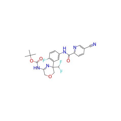 CC(C)(C)OC(=O)NC1=NC(c2cc(NC(=O)c3ccc(C#N)cn3)ccc2F)(C(F)F)COC1